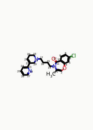 CC1=COc2cc(Cl)ccc2C(=O)N1CCCCN1CCC=C(c2ccccn2)C1